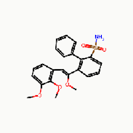 COC(=Cc1cccc(OC)c1OC)c1cccc(S(N)(=O)=O)c1-c1ccccc1